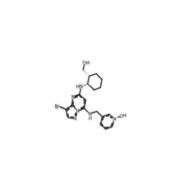 OC[C@@H]1CCCC[C@@H]1Nc1cc(NCc2ccc[n+](O)c2)n2ncc(Br)c2n1